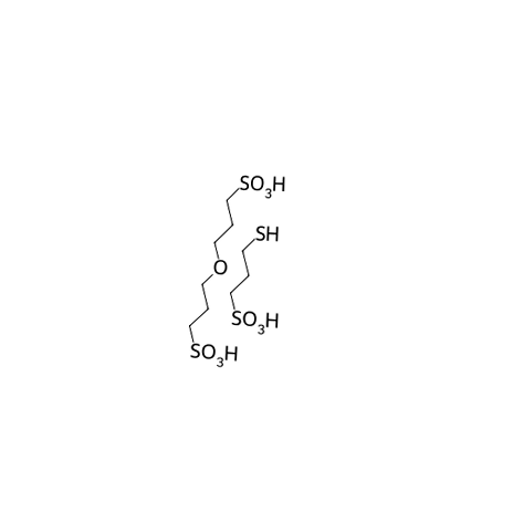 O=S(=O)(O)CCCOCCCS(=O)(=O)O.O=S(=O)(O)CCCS